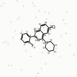 Fc1ccccc1-c1nc(N2CCCCC2)c2cc(Cl)ccc2n1